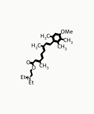 CCN(CC)CCOC(=O)C=C(C)C=CC=C(C)C=Cc1c(C)cc(OC)c(C)c1C